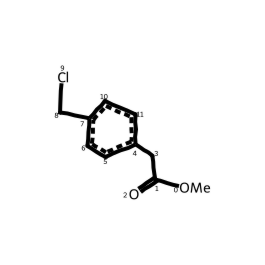 COC(=O)Cc1ccc(CCl)cc1